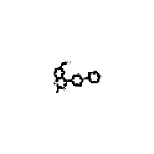 Cc1nc(-c2ccc(-c3ccccc3)cc2)c2cc(C=O)ccc2n1